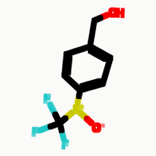 [O-][S+](c1ccc(CO)cc1)C(F)(F)F